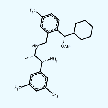 CO[C@H](c1ccc(C(F)(F)F)cc1CN[C@@H](C)[C@H](N)c1cc(C(F)(F)F)cc(C(F)(F)F)c1)C1CCCCC1